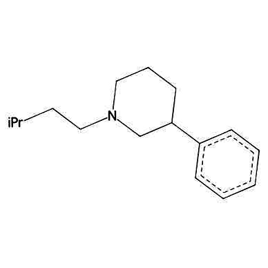 CC(C)CCN1CCCC(c2ccccc2)C1